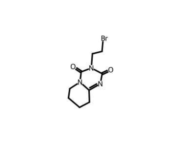 O=c1nc2n(c(=O)n1CCBr)CCCC2